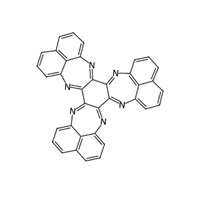 c1cc2cccc3nc4c(nc(c1)c23)c1nc2cccc3cccc(nc1c1nc5cccc6cccc(nc41)c65)c32